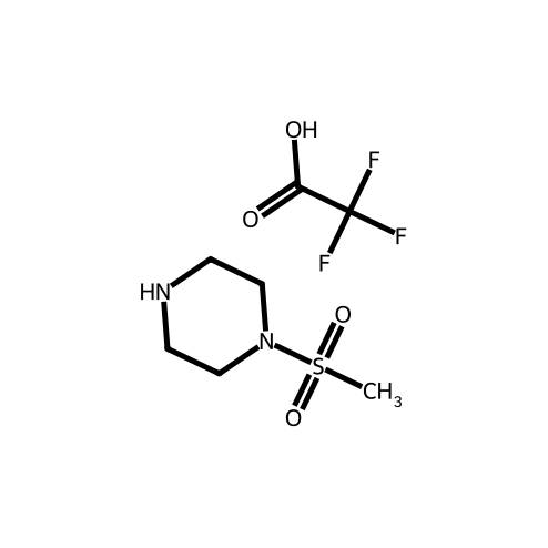 CS(=O)(=O)N1CCNCC1.O=C(O)C(F)(F)F